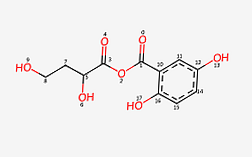 O=C(OC(=O)C(O)CCO)c1cc(O)ccc1O